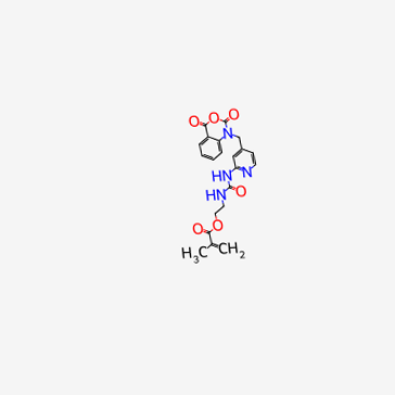 C=C(C)C(=O)OCCNC(=O)Nc1cc(Cn2c(=O)oc(=O)c3ccccc32)ccn1